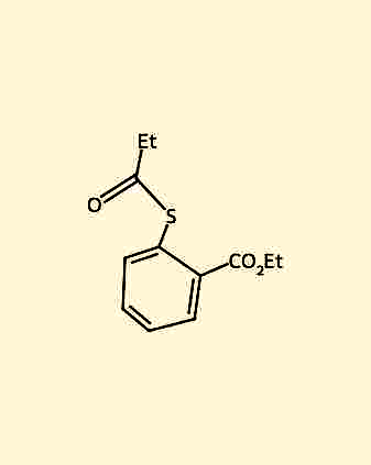 CCOC(=O)c1ccccc1SC(=O)CC